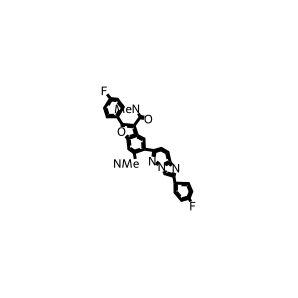 CNC(=O)c1c(-c2ccc(F)cc2)oc2cc(NC)c(-c3ccc4nc(-c5ccc(F)cc5)cn4n3)cc12